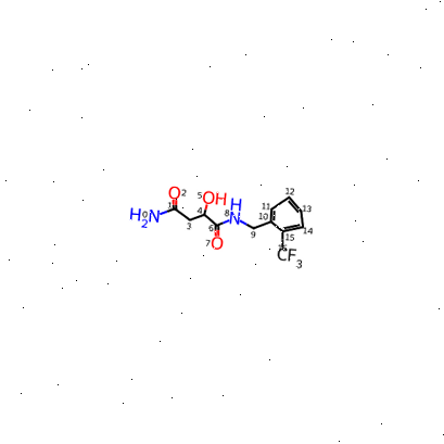 NC(=O)CC(O)C(=O)NCc1ccccc1C(F)(F)F